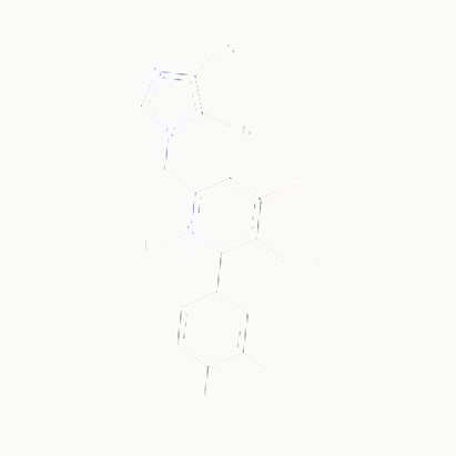 CCn1c(Cn2cnc(C#N)c2C#N)cc(=O)c(C(=O)O)c1-c1ccc(Cl)c(Cl)c1